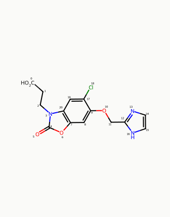 O=C(O)CCn1c(=O)oc2cc(OCc3ncc[nH]3)c(Cl)cc21